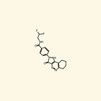 O=C(NCC(F)F)c1ccc(-n2[nH]c3c4c(nnc3c2=O)CCCC4)cc1